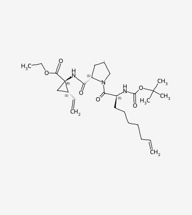 C=CCCCCC[C@H](NC(=O)OC(C)(C)C)C(=O)N1C[CH]C[C@H]1C(=O)N[C@]1(C(=O)OCC)C[C@H]1C=C